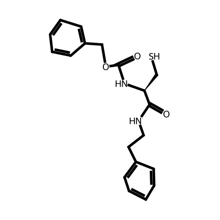 O=C(N[C@@H](CS)C(=O)NCCc1ccccc1)OCc1ccccc1